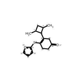 CC1CC(C)C1C1=C(Sc2ccco2)CCC(=O)C1